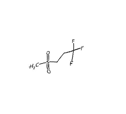 [CH2]S(=O)(=O)CCC(F)(F)F